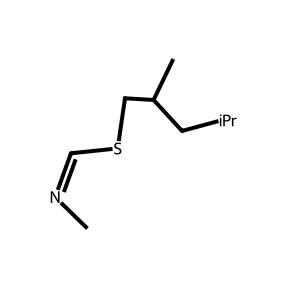 C/N=C\SCC(C)CC(C)C